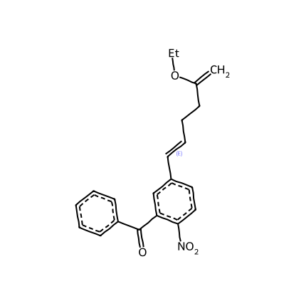 C=C(CC/C=C/c1ccc([N+](=O)[O-])c(C(=O)c2ccccc2)c1)OCC